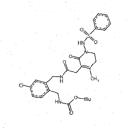 CC1=C(CC(=O)NCc2cc(Cl)ccc2CNC(=O)OC(C)(C)C)C(=O)N(NS(=O)(=O)c2ccccc2)CC1